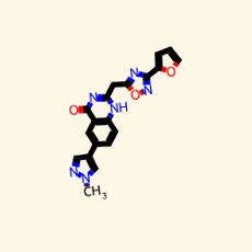 Cn1cc(-c2ccc3[nH]c(Cc4nc(-c5ccco5)no4)nc(=O)c3c2)cn1